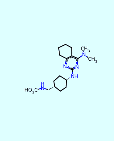 CN(C)c1nc(N[C@H]2CC[C@@H](CNC(=O)O)CC2)nc2c1CCCC2